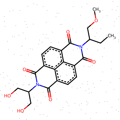 CCC(COC)N1C(=O)c2ccc3c4c(ccc(c24)C1=O)C(=O)N(C(CO)CO)C3=O